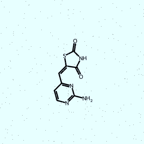 Nc1nccc(C=C2SC(=O)NC2=O)n1